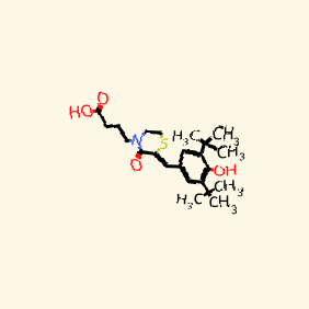 CC(C)(C)c1cc(C=C2SCCN(CCCC(=O)O)C2=O)cc(C(C)(C)C)c1O